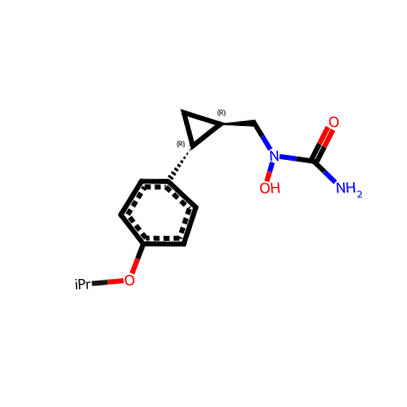 CC(C)Oc1ccc([C@@H]2C[C@H]2CN(O)C(N)=O)cc1